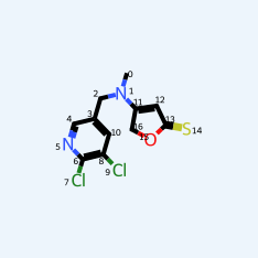 CN(Cc1cnc(Cl)c(Cl)c1)C1=CC(=S)OC1